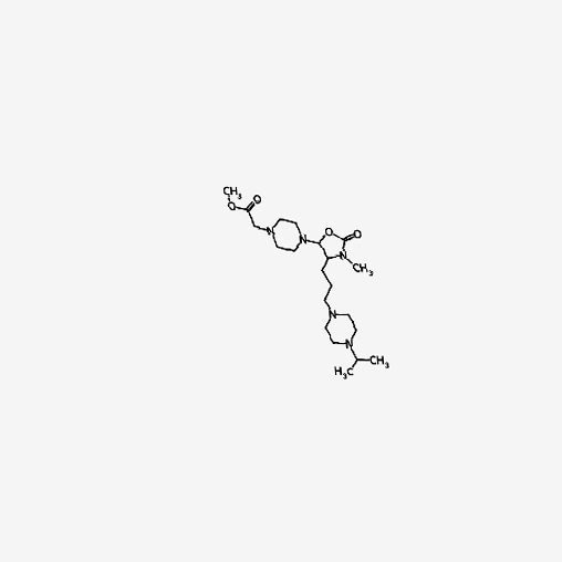 COC(=O)CN1CCN(C2OC(=O)N(C)C2CCCN2CCN(C(C)C)CC2)CC1